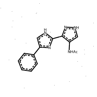 CC(=O)Nc1c[nH]nc1-c1nc(-c2ccccc2)c[nH]1